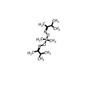 CC(=NO[Si](C)(C)ON=C(C)C(C)C)C(C)C